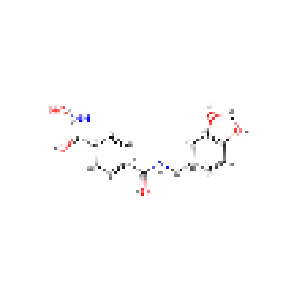 O=C(NO)c1ccc(C(=O)NCc2ccc3c(c2)OCO3)cc1